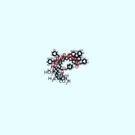 CCC(C)(CC(C)(CC(C)(CC(C)(CC(C)(CC(C)(CC(C)(CC(C)(CC(C)(CC(C)(CC(C)(C)C(=O)O)C(=O)O)C(=O)O)C(=O)OCC1CO1)C(=O)OCc1ccccc1)C(=O)OCc1ccccc1)C(=O)OCc1ccccc1)C(=O)OCc1ccccc1)C(=O)OCc1ccccc1)C(=O)OCc1ccccc1)C(=O)OCc1ccccc1